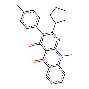 Cc1ccc(-n2c(C3CCCC3)nc3c(c(=O)c4ccccc4n3C)c2=O)cc1